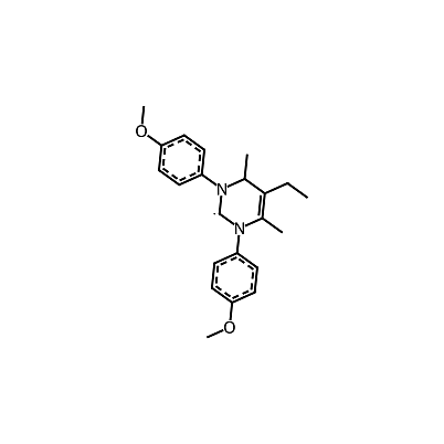 CCC1=C(C)N(c2ccc(OC)cc2)[CH]N(c2ccc(OC)cc2)C1C